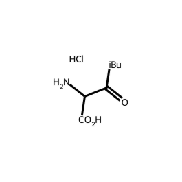 CCC(C)C(=O)C(N)C(=O)O.Cl